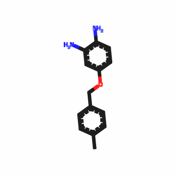 Cc1ccc(COc2ccc(N)c(N)c2)cc1